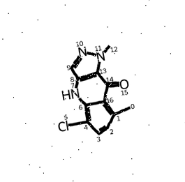 Cc1ccc(Cl)c2[nH]c3cnn(C)c3c(=O)c12